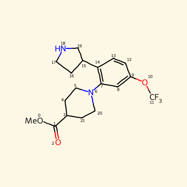 COC(=O)C1CCN(c2cc(OC(F)(F)F)ccc2C2CCNC2)CC1